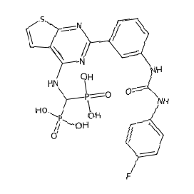 O=C(Nc1ccc(F)cc1)Nc1cccc(-c2nc(NC(P(=O)(O)O)P(=O)(O)O)c3ccsc3n2)c1